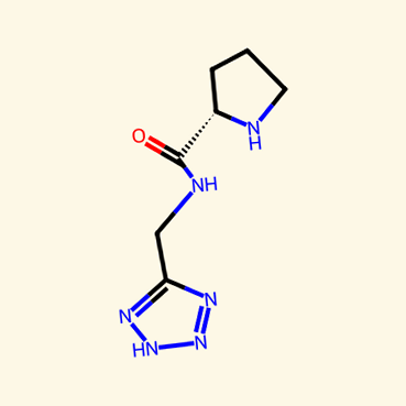 O=C(NCc1nn[nH]n1)[C@@H]1CCCN1